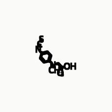 CN(CC(=O)O)c1ccc(N=C=S)cc1